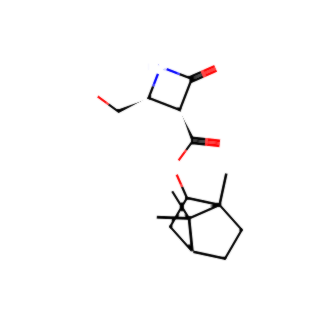 CC1(C)C2CCC1(C)C(OC(=O)[C@@H]1C(=O)N[C@@H]1CO)C2